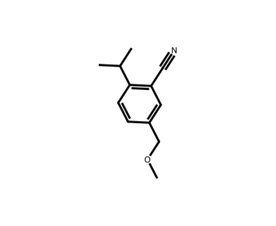 COCc1ccc(C(C)C)c(C#N)c1